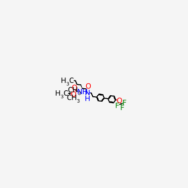 CCCC[C@H](NC(=O)OC(C)(C)C)C(=O)NCCc1ccc(-c2ccc(OC(F)(F)F)cc2)cc1